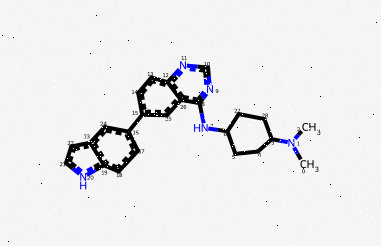 CN(C)C1CCC(Nc2ncnc3ccc(-c4ccc5[nH]ccc5c4)cc23)CC1